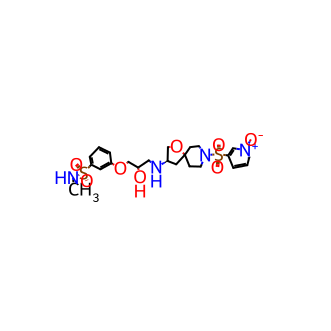 CNS(=O)(=O)c1cccc(OCC(O)CN[C@H]2COC3(CCN(S(=O)(=O)c4ccc[n+]([O-])c4)CC3)C2)c1